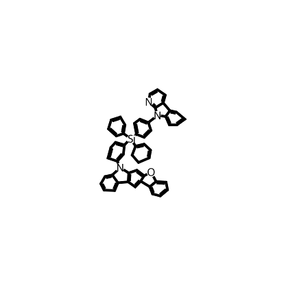 C1=CCCC([Si](c2ccccc2)(c2ccc(-n3c4ccccc4c4cccnc43)cc2)c2cccc(-n3c4ccccc4c4cc5c(cc43)oc3ccccc35)c2)=C1